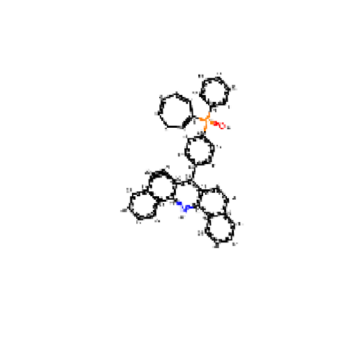 O=P(C1=CCC=CC=C1)(c1ccccc1)c1ccc(-c2c3c#cc4ccccc4c3nc3c2ccc2ccccc23)cc1